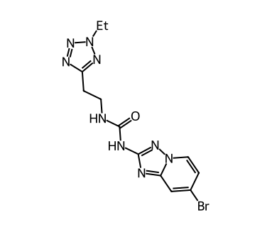 CCn1nnc(CCNC(=O)Nc2nc3cc(Br)ccn3n2)n1